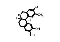 Cc1cc2c(cc1O)CN[C@H]1CCc3cc(O)c(O)cc3[C@H]21